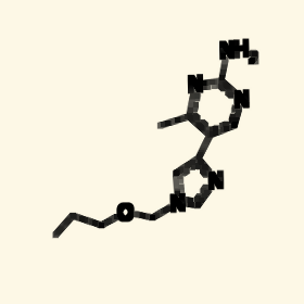 CCCOCn1cnc(-c2cnc(N)nc2C)c1